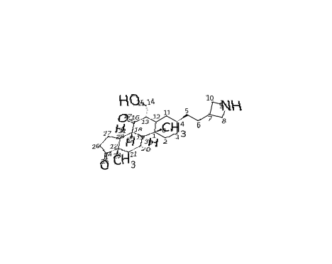 C[C@]12CC[C@H](CCC3CNC3)CC1[C@@H](CO)C(=O)[C@@H]1[C@@H]2CC[C@]2(C)C(=O)CC[C@@H]12